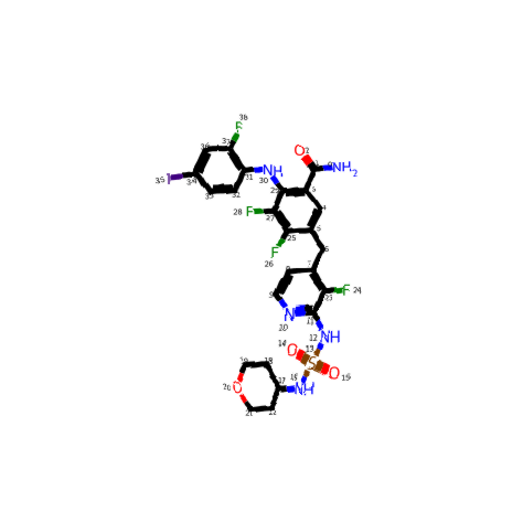 NC(=O)c1cc(Cc2ccnc(NS(=O)(=O)NC3CCOCC3)c2F)c(F)c(F)c1Nc1ccc(I)cc1F